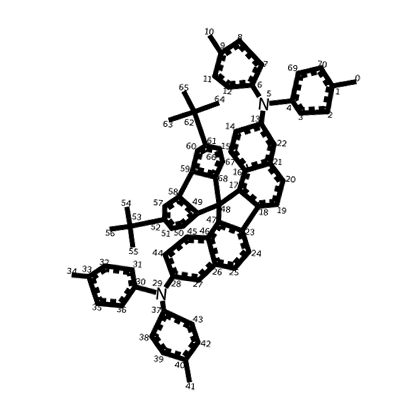 Cc1ccc(N(c2ccc(C)cc2)c2ccc3c4c(ccc3c2)-c2ccc3cc(N(c5ccc(C)cc5)c5ccc(C)cc5)ccc3c2C42c3ccc(C(C)(C)C)cc3-c3cc(C(C)(C)C)ccc32)cc1